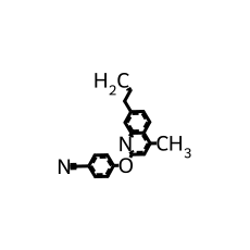 C=CCc1ccc2c(C)cc(Oc3ccc(C#N)cc3)nc2c1